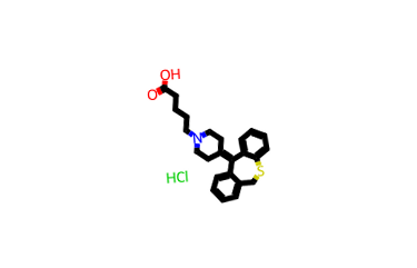 Cl.O=C(O)CCCCN1CCC(=C2c3ccccc3CSc3ccccc32)CC1